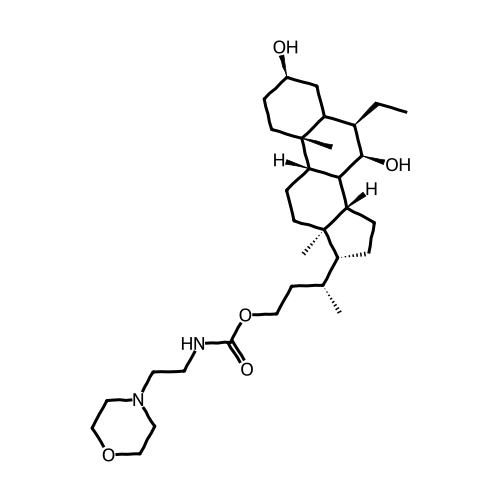 CC[C@@H]1C2C[C@H](O)CC[C@@]2(C)[C@H]2CC[C@]3(C)[C@@H]([C@H](C)CCOC(=O)NCCN4CCOCC4)CC[C@H]3C2[C@@H]1O